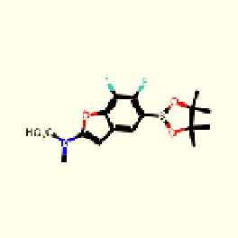 CN(C(=O)O)c1cc2cc(B3OC(C)(C)C(C)(C)O3)c(F)c(F)c2o1